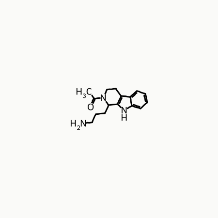 CC(=O)N1CCc2c([nH]c3ccccc23)C1CCCN